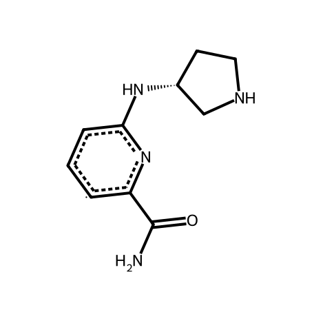 NC(=O)c1[c]ccc(N[C@@H]2CCNC2)n1